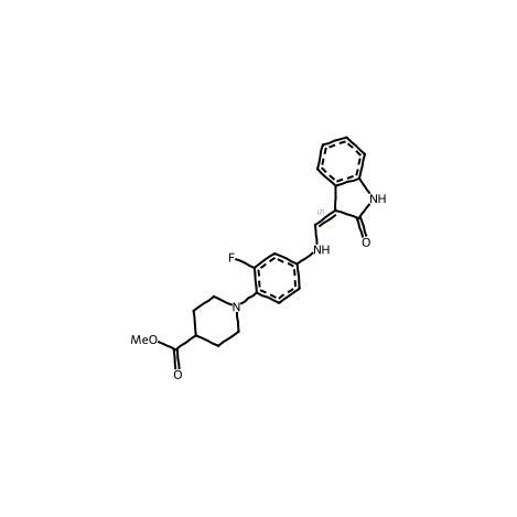 COC(=O)C1CCN(c2ccc(N/C=C3\C(=O)Nc4ccccc43)cc2F)CC1